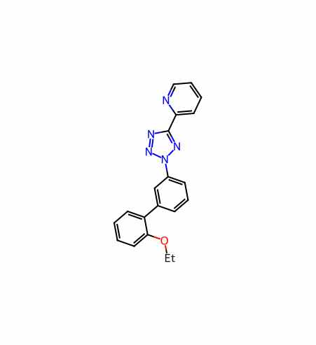 CCOc1ccccc1-c1cccc(-n2nnc(-c3ccccn3)n2)c1